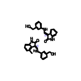 Cc1cccc2c1/C(=C\Nc1cccc(CO)c1)C(=O)N2.O=C1Nc2ccccc2/C1=C\Nc1cccc(CO)c1